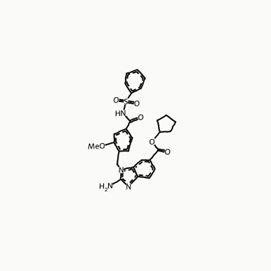 COc1cc(C(=O)NS(=O)(=O)c2ccccc2)ccc1Cn1c(N)nc2ccc(C(=O)OC3CCCC3)cc21